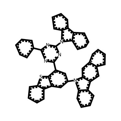 c1ccc(-c2nc(-c3cc(-n4c5ccccc5c5cc6ccccc6cc54)cc4c3sc3ccccc34)nc(-n3c4ccccc4c4ccccc43)n2)cc1